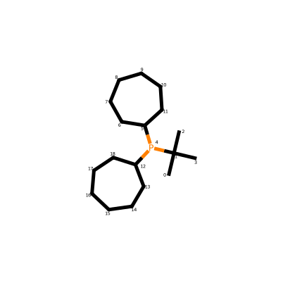 CC(C)(C)P(C1CCCCCC1)C1CCCCCC1